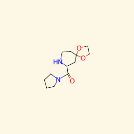 O=C(C1CC2(CCN1)OCCO2)N1CCCC1